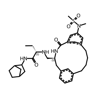 CC[C@H](NC[C@@H]1Cc2cccc(c2)CCCCc2cc(cc(N(C)S(C)(=O)=O)c2)C(=O)N1)C(=O)NC1CC2CCC1C2